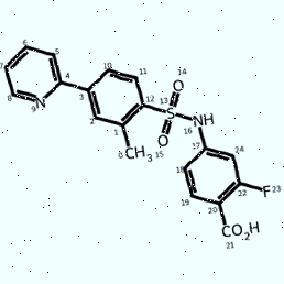 Cc1cc(-c2ccccn2)ccc1S(=O)(=O)Nc1ccc(C(=O)O)c(F)c1